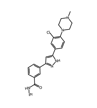 CC(C)NC(=O)c1cccc(-c2cc(-c3ccc(N4CCN(C)CC4)c(Cl)c3)[nH]n2)c1